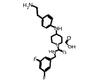 NCCc1ccc(NC2CCN(C(=O)NCc3cc(F)cc(F)c3)CC2)cc1.O=CO